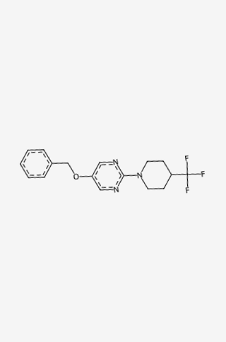 FC(F)(F)C1CCN(c2ncc(OCc3ccccc3)cn2)CC1